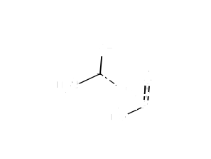 C[CH]([AlH2])C(=O)O.O=PO